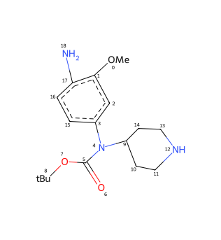 COc1cc(N(C(=O)OC(C)(C)C)C2CCNCC2)ccc1N